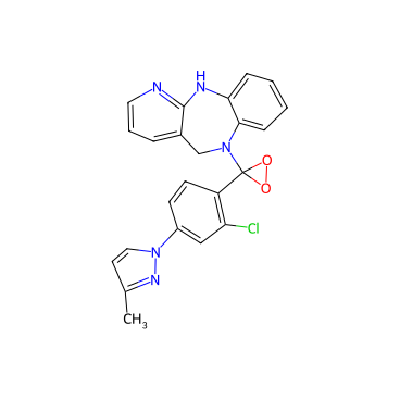 Cc1ccn(-c2ccc(C3(N4Cc5cccnc5Nc5ccccc54)OO3)c(Cl)c2)n1